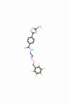 O=C(NCC=NOCc1c(F)c(F)c(F)c(F)c1F)c1ccc(-c2noc(C(F)(F)F)n2)cc1